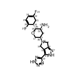 N[C@H]1C[C@@H](N2Cc3n[nH]c(-c4nn[nH]n4)c3C2)CO[C@@H]1C1CC(F)=CC=C1F